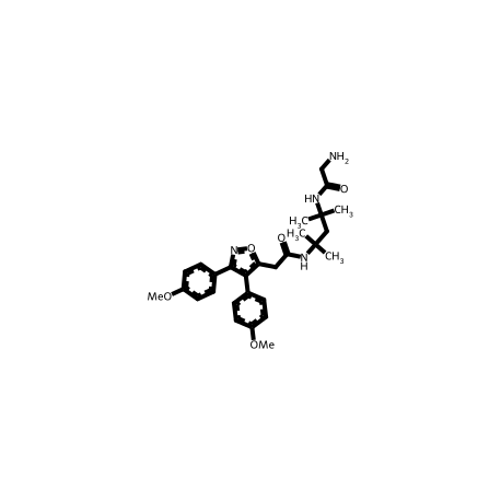 COc1ccc(-c2noc(CC(=O)NC(C)(C)CC(C)(C)NC(=O)CN)c2-c2ccc(OC)cc2)cc1